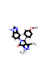 CCCOc1ccc([C@H]2c3c(C)nn(C)c3C(=O)N2c2ccc3[nH]cnc3c2)cc1